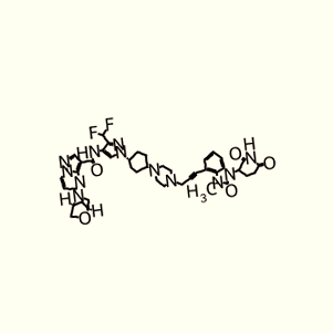 Cn1c(=O)n(C2CCC(=O)NC2=O)c2cccc(C#CCN3CCN([C@H]4CC[C@H](n5cc(NC(=O)c6cnn7ccc(N8C[C@H]9C[C@@H]8CO9)nc67)c(C(F)F)n5)CC4)CC3)c21